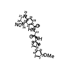 COc1cccc(-c2csc(NC(=O)CNC(=O)c3ccc4c(c3)C(C)(C#N)CCN4C)n2)c1